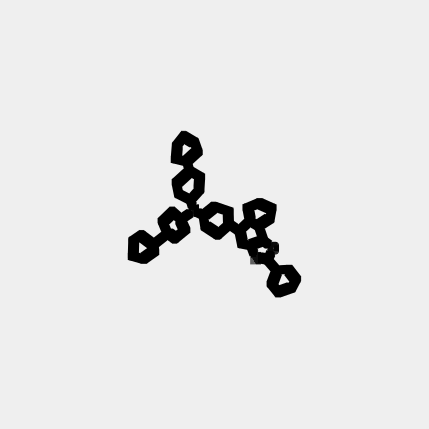 C1=CC(N(c2ccc(-c3ccccc3)cc2)c2ccc(-c3cc4nc(-c5ccccc5)oc4c4ccccc34)cc2)CC=C1c1ccccc1